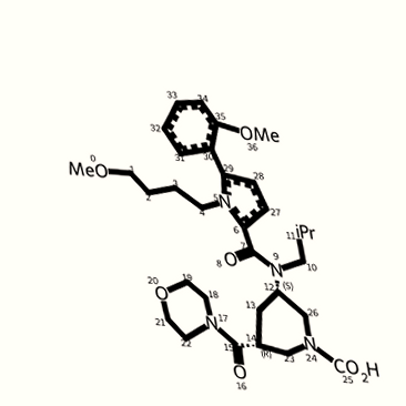 COCCCCn1c(C(=O)N(CC(C)C)[C@H]2C[C@@H](C(=O)N3CCOCC3)CN(C(=O)O)C2)ccc1-c1ccccc1OC